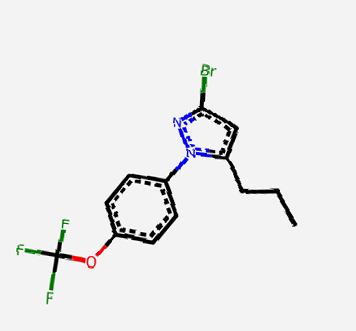 CCCc1cc(Br)nn1-c1ccc(OC(F)(F)F)cc1